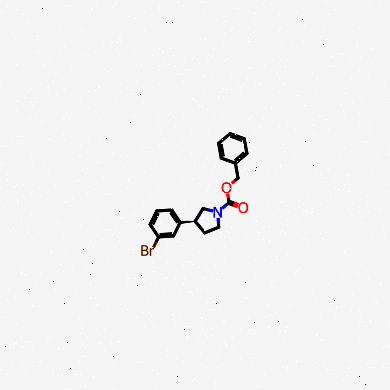 O=C(OCc1ccccc1)N1CC[C@@H](c2cccc(Br)c2)C1